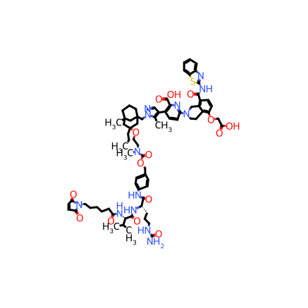 CCCC1(OCCN(C)C(=O)OCc2ccc(NC(=O)[C@H](CCCNC(N)=O)NC(=O)[C@@H](NC(=O)CCCCCN3C(=O)C=CC3=O)C(C)C)cc2)CC2(C)CCCC(Cn3ncc(-c4ccc(N5CCc6c(OCC(=O)O)ccc(C(=O)Nc7nc8ccccc8s7)c6C5)nc4C(=O)O)c3C)(C2)C1